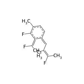 C/C(F)=c1/c(F)c(C)cc/c1=C/C(C)=C(\C)F